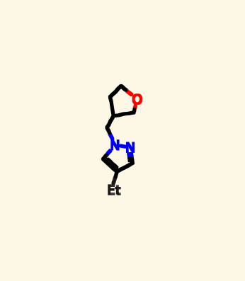 CCc1cnn(CC2CCOC2)c1